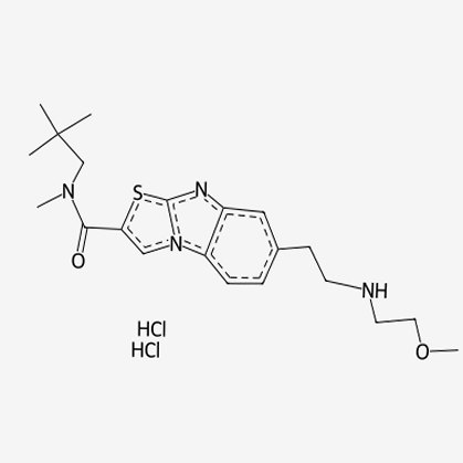 COCCNCCc1ccc2c(c1)nc1sc(C(=O)N(C)CC(C)(C)C)cn12.Cl.Cl